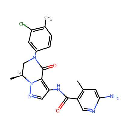 Cc1cc(N)ncc1C(=O)Nc1cnn2c1C(=O)N(c1ccc(C(F)(F)F)c(Cl)c1)C[C@@H]2C